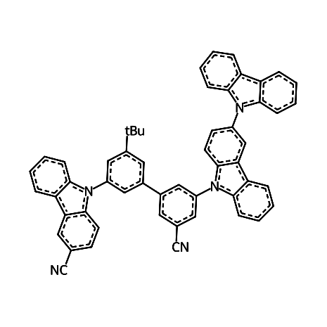 CC(C)(C)c1cc(-c2cc(C#N)cc(-n3c4ccccc4c4cc(-n5c6ccccc6c6ccccc65)ccc43)c2)cc(-n2c3ccccc3c3cc(C#N)ccc32)c1